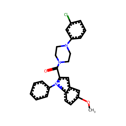 COc1ccc2c(c1)cc(C(=O)N1CCN(c3cccc(Cl)c3)CC1)n2-c1ccccc1